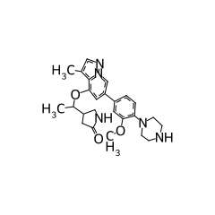 COc1cc(-c2cc(OC(C)C3CNC(=O)C3)c3c(C)cnn3c2)ccc1N1CCNCC1